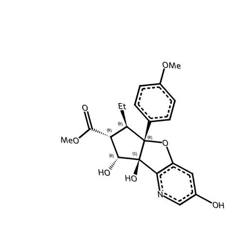 CC[C@@H]1[C@@H](C(=O)OC)[C@@H](O)[C@@]2(O)c3ncc(O)cc3O[C@@]12c1ccc(OC)cc1